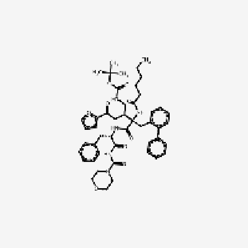 CCCCCC(=O)N[C@](Cc1ccccc1-c1ccccc1)(C(=O)N[C@@H](Cc1ccccc1)C(=O)NC(=O)N1CCOCC1)C(CNC(=O)OC(C)(C)C)CC(=O)c1ccco1